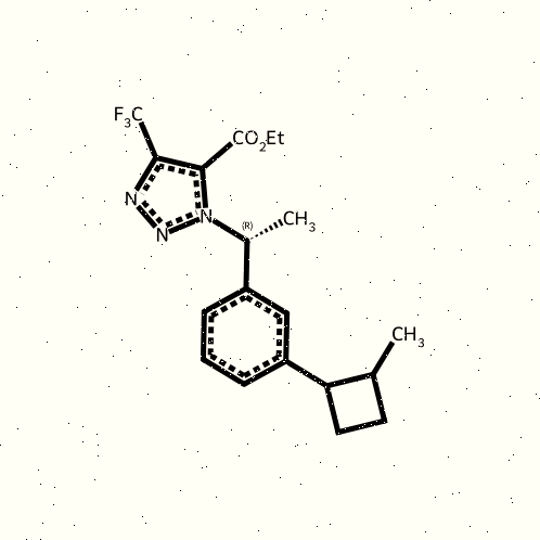 CCOC(=O)c1c(C(F)(F)F)nnn1[C@H](C)c1cccc(C2CCC2C)c1